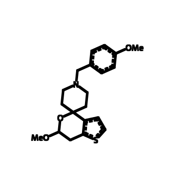 COc1ccc(CN2CCC3(CC2)OC(OC)Cc2sccc23)cc1